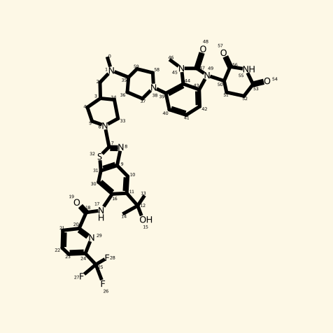 CN(CC1CCN(c2nc3cc(C(C)(C)O)c(NC(=O)c4cccc(C(F)(F)F)n4)cc3s2)CC1)C1CCN(c2cccc3c2n(C)c(=O)n3C2CCC(=O)NC2=O)CC1